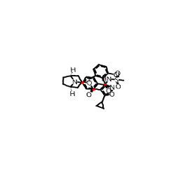 CS(=O)(=O)NC(=O)c1ccc(N2[C@@H]3CC[C@H]2C[C@@H](OC(=O)c2c(-c4c(Cl)cccc4Cl)noc2C2CC2)C3)cc1